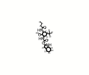 CCCC(=O)Nc1cc(C(C)(C)C)cc(NC(=O)Oc2cc3ccccc3[nH]2)c1OC